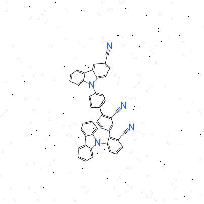 N#Cc1ccc2c(c1)c1ccccc1n2-c1ccc(-c2ccc(-c3c(C#N)cccc3-n3c4ccccc4c4ccccc43)cc2C#N)cc1